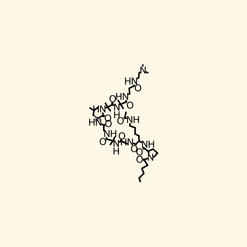 CCCCCC(=O)N1CCCC1C(=O)NC(CCCCNC(C)=O)C(=O)NCC(=O)NC(C)(C)C(=O)NCC(=O)N[C@@H](CC(C)C)C(=O)NC(C)(C)C(=O)NC(C)(C)C(=O)NCCC(=O)NCCN(C)C